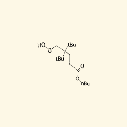 CCCCOC(=O)CCC(COO)(C(C)(C)C)C(C)(C)C